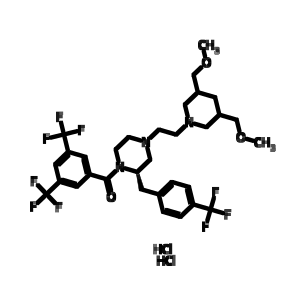 COCC1CC(COC)CN(CCN2CCN(C(=O)c3cc(C(F)(F)F)cc(C(F)(F)F)c3)[C@H](Cc3ccc(C(F)(F)F)cc3)C2)C1.Cl.Cl